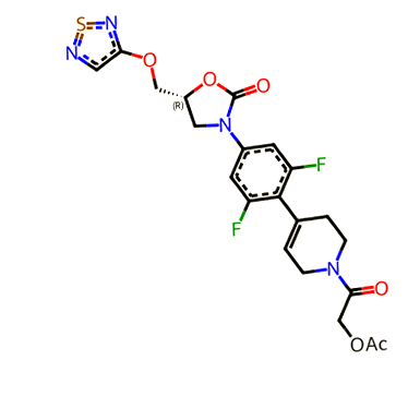 CC(=O)OCC(=O)N1CC=C(c2c(F)cc(N3C[C@H](COc4cnsn4)OC3=O)cc2F)CC1